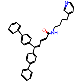 O=C(/C=C/C=C(c1ccc(-c2ccccc2)cc1)c1ccc(-c2ccccc2)cc1)NCCCCc1cccnc1